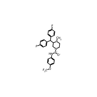 CN1CCN([S+]([O-])Nc2ccc(OC(F)(F)F)cc2)CC1C(c1ccc(F)cc1)c1ccc(F)cc1